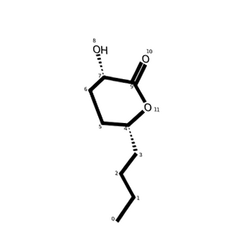 CCCC[C@@H]1CC[C@H](O)C(=O)O1